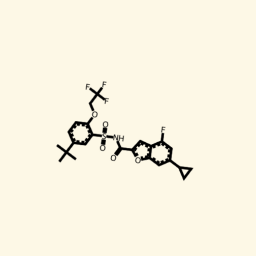 CC(C)(C)c1ccc(OCC(F)(F)F)c(S(=O)(=O)NC(=O)c2cc3c(F)cc(C4CC4)cc3o2)c1